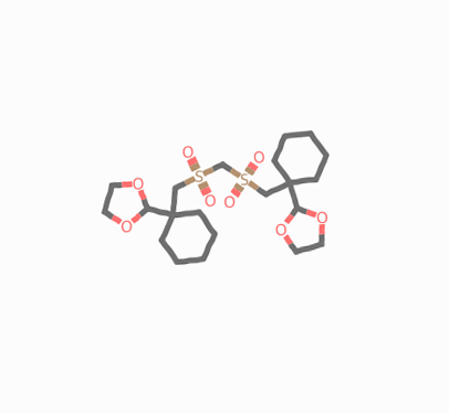 O=S(=O)(CC1(C2OCCO2)CCCCC1)CS(=O)(=O)CC1(C2OCCO2)CCCCC1